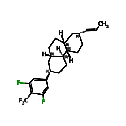 CC=C[C@@H]1CC[C@H]2[C@H](CC[C@H]3C[C@H](c4cc(F)c(C(F)(F)F)c(F)c4)CC[C@@H]32)C1